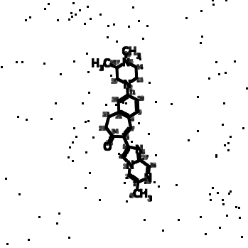 Cc1cn2cc(C3=Cc4ccc(N5CCN(C)[C@H](C)C5)cc4CCC3=O)nc2cn1